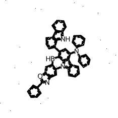 B1c2cc3oc(-c4ccccc4)nc3cc2-n2c3ccccc3c3c(N(c4ccccc4)c4ccccc4)cc(-c4cccc5c4[nH]c4ccccc45)c1c32